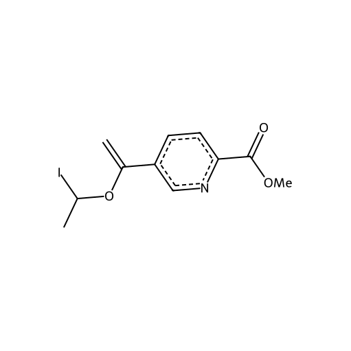 C=C(OC(C)I)c1ccc(C(=O)OC)nc1